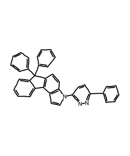 c1ccc(-c2ccc(-n3ccc4c5c(ccc43)C(c3ccccc3)(c3ccccc3)c3ccccc3-5)nn2)cc1